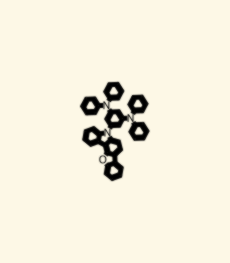 c1ccc(N(c2ccccc2)c2cc(N(c3ccccc3)c3ccccc3)cc(-n3c4ccccc4c4c5oc6ccccc6c5ccc43)c2)cc1